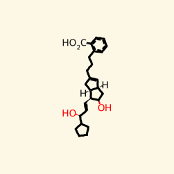 O=C(O)c1ccccc1CCCC1=C[C@H]2C[C@@H](O)[C@@H](/C=C/[C@@H](O)C3CCCC3)[C@H]2C1